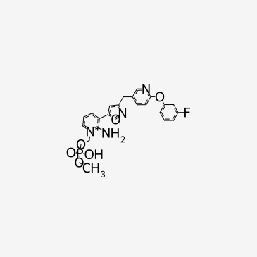 COP(=O)(O)OC[n+]1cccc(-c2cc(Cc3ccc(Oc4cccc(F)c4)nc3)no2)c1N